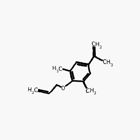 C=CCOc1c(C)cc(C(=C)C)cc1C